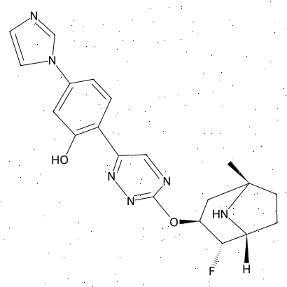 C[C@@]12CC[C@@H](N1)[C@H](F)[C@@H](Oc1ncc(-c3ccc(-n4ccnc4)cc3O)nn1)C2